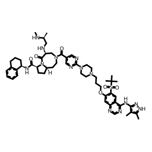 CN[C@@H](C)CN[C@H]1CN(C(=O)c2cnc(N3CCN(CCCOc4cc5ncnc(Nc6n[nH]c(C)c6C)c5cc4S(=O)(=O)C(C)(C)C)CC3)nc2)CC[C@H]2CC[C@@H](C(=O)N[C@@H]3CCCc4ccccc43)N2C1=O